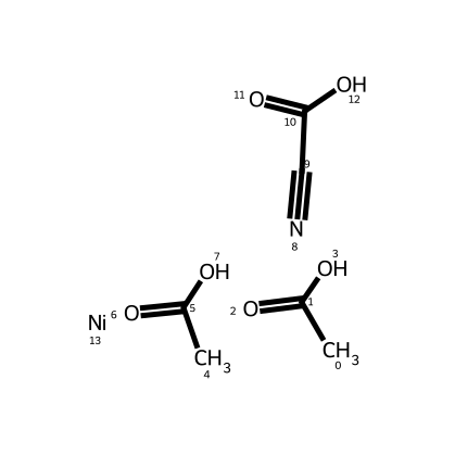 CC(=O)O.CC(=O)O.N#CC(=O)O.[Ni]